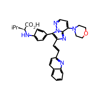 CC(C)[C@H](Nc1ccc(-c2c(/C=C/c3ccc4ccccc4n3)nc3c(N4CCOCC4)ccnn23)cc1)C(=O)O